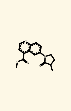 COC(=O)c1ccnc2ccc(N3CCC(C)C3=O)cc12